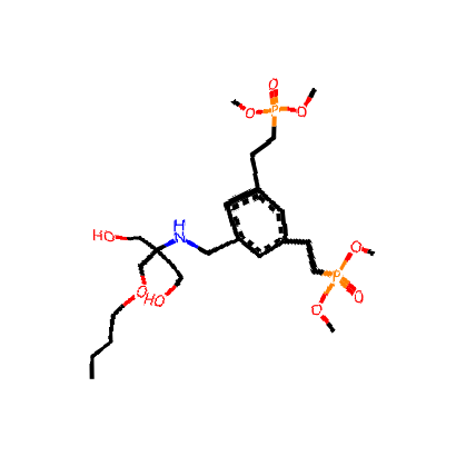 CCCCOCC(CO)(CO)NCc1cc(CCP(=O)(OC)OC)cc(CCP(=O)(OC)OC)c1